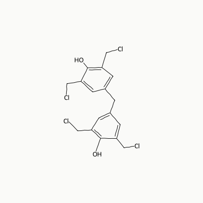 Oc1c(CCl)cc(Cc2cc(CCl)c(O)c(CCl)c2)cc1CCl